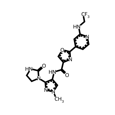 Cn1cc(NC(=O)c2coc(-c3ccnc(NCC(F)(F)F)c3)n2)c(N2CCNC2=O)n1